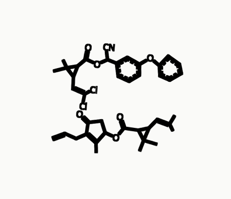 C=CCC1=C(C)C(OC(=O)C2C(C=C(C)C)C2(C)C)CC1=O.CC1(C)C(C=C(Cl)Cl)C1C(=O)OC(C#N)c1cccc(Oc2ccccc2)c1